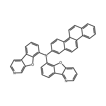 c1ccc2c(c1)ccc1c3ccc(N(c4cccc5c4oc4cnccc45)c4cccc5c4oc4cccnc45)cc3ccc21